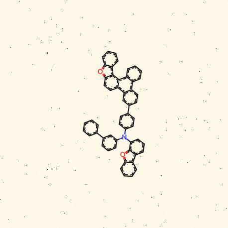 c1ccc(-c2cccc(N(c3ccc(-c4ccc5c6ccccc6c6c(ccc7oc8ccccc8c76)c5c4)cc3)c3cccc4c3oc3ccccc34)c2)cc1